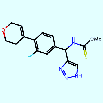 COC(=S)NC(c1ccc(C2=CCOCC2)c(F)c1)c1c[nH]nn1